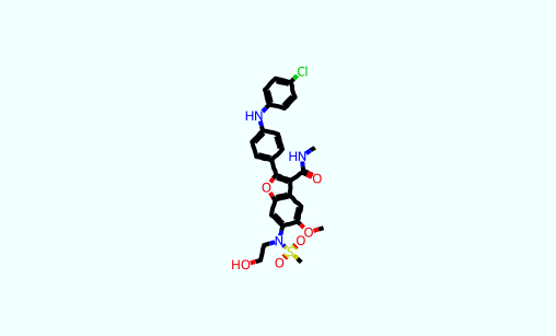 CNC(=O)c1c(-c2ccc(Nc3ccc(Cl)cc3)cc2)oc2cc(N(CCO)S(C)(=O)=O)c(OC)cc12